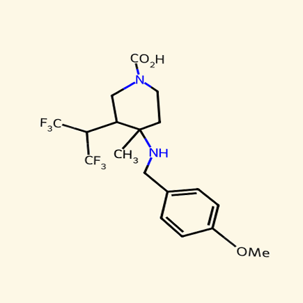 COc1ccc(CNC2(C)CCN(C(=O)O)CC2C(C(F)(F)F)C(F)(F)F)cc1